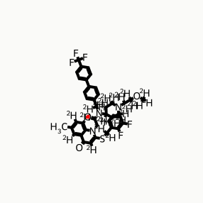 [2H]c1c(C)c([2H])c2c(=O)c([2H])c(SC([2H])([2H])c3cccc(F)c3F)n(CC(=O)N(C([2H])([2H])c3ccc(-c4ccc(C(F)(F)F)cc4)cc3)C3([2H])C([2H])([2H])C([2H])([2H])N(C([2H])([2H])C([2H])([2H])OC([2H])([2H])[2H])C([2H])([2H])C3([2H])[2H])c2c1[2H]